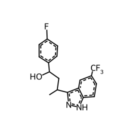 CC(CC(O)c1ccc(F)cc1)c1n[nH]c2ccc(C(F)(F)F)cc12